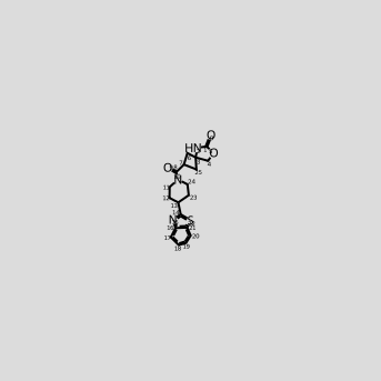 O=C1NC2(CO1)CC(C(=O)N1CCC(c3nc4ccccc4s3)CC1)C2